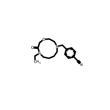 CCN1CCCCN(Cc2ccc(C#N)cc2)CCOCC1=O